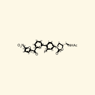 CC(=O)NC[C@H]1CN(c2ccc(-c3cccc(C(=O)c4ccc([N+](=O)[O-])o4)n3)c(F)c2)C(=O)O1